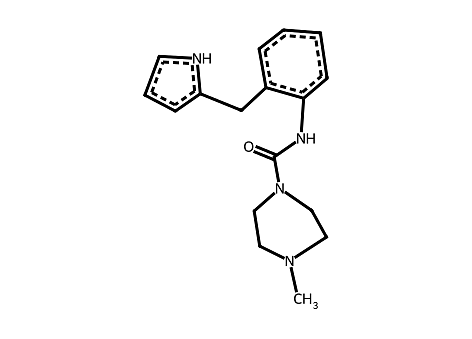 CN1CCN(C(=O)Nc2ccccc2Cc2ccc[nH]2)CC1